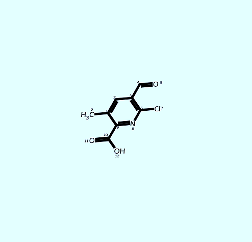 Cc1cc(C=O)c(Cl)nc1C(=O)O